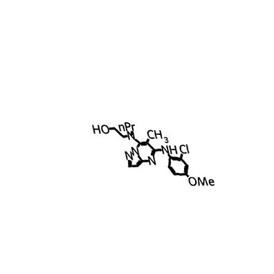 CCCN(CCO)c1c(C)c(Nc2ccc(OC)cc2Cl)nc2ccnn12